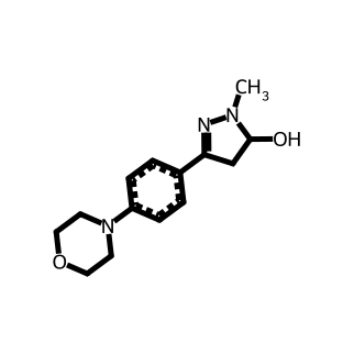 CN1N=C(c2ccc(N3CCOCC3)cc2)CC1O